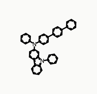 c1ccc(-c2ccc(-c3ccc(N(c4ccccc4)c4ccc5c6ccccc6n(-c6ccccc6)c5c4)cc3)cc2)cc1